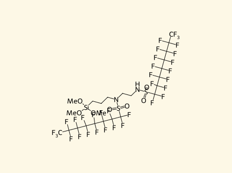 CO[Si](CCCN(CCNS(=O)(=O)C(F)(F)C(F)(F)C(F)(F)C(F)(F)C(F)(F)C(F)(F)C(F)(F)C(F)(F)F)S(=O)(=O)C(F)(F)C(F)(F)C(F)(F)C(F)(F)C(F)(F)C(F)(F)C(F)(F)C(F)(F)F)(OC)OC